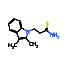 Cc1c(C)n(CCC(N)=S)c2ccccc12